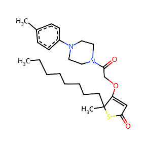 CCCCCCCCC1(C)SC(=O)C=C1OCC(=O)N1CCN(c2ccc(C)cc2)CC1